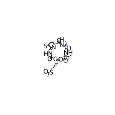 C/C=C1\NC(=O)c2ccc(SC)c(n2)CNC(=O)C[C@@H](/C=C/CCSC(C)=O)OC(=O)[C@H](C(C)C)NC1=O